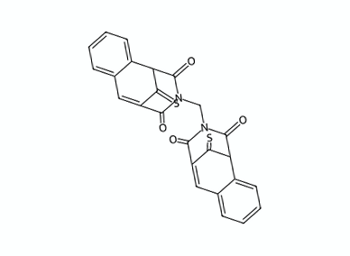 O=C1C2=Cc3ccccc3C(C(=O)N1CN1C(=O)C3=Cc4ccccc4C(C1=O)C3=S)C2=S